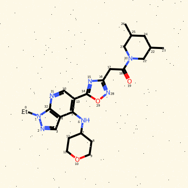 CCn1ncc2c(NC3CCOCC3)c(-c3nc(CC(=O)N4CC(C)CC(C)C4)no3)cnc21